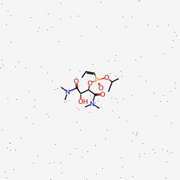 C/C=C\P(=O)(OC(C)C)O[C@@H](C(=O)N(C)C)[C@@H](O)C(=O)N(C)C